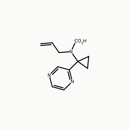 C=CCN(C(=O)O)C1(c2cnccn2)CC1